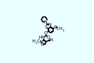 COc1ccc(OC(=O)Nc2c(C#N)cnn2C)c2sc(N3CCCCC3)nc12